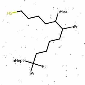 CCCCCCCC(CC)(CCCCC(CCC)C(CCCCS)CCCCCC)C(C)C